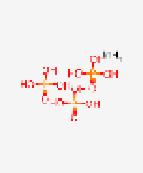 O=P(O)(O)O.O=P(O)(O)O.O=P(O)(O)O.[InH3]